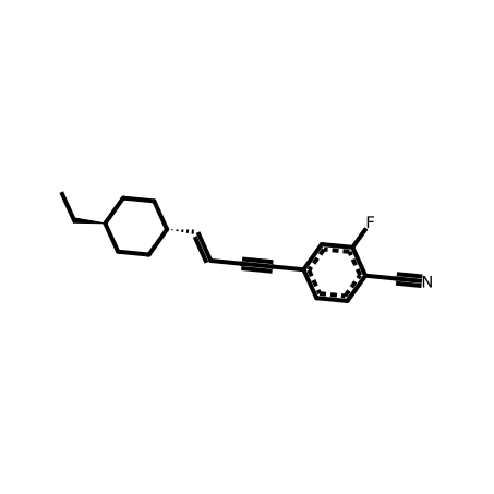 CC[C@H]1CC[C@H](C=CC#Cc2ccc(C#N)c(F)c2)CC1